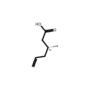 C=CC[C@@H](C)CC(=O)O